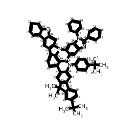 CC(C)(C)c1ccc(N2B3c4cc5nc(-c6ccccc6)n(-c6ccccc6)c5cc4-n4c5cc6oc7ccccc7c6cc5c5ccc(c3c54)-c3cc4c(cc32)-c2ccc(C(C)(C)C)cc2C4(C)C)cc1